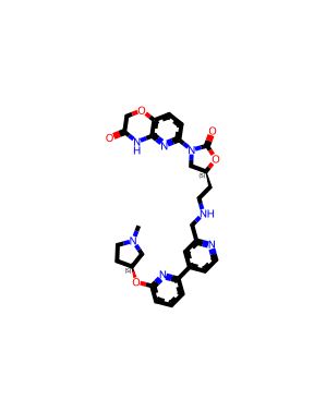 CN1CC[C@H](Oc2cccc(-c3ccnc(CNCC[C@H]4CN(c5ccc6c(n5)NC(=O)CO6)C(=O)O4)c3)n2)C1